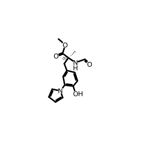 COC(=O)[C@](C)(Cc1ccc(O)c(-n2cccc2)c1)NC=O